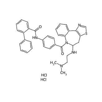 CN(C)CCNC1Cc2scnc2-c2ccccc2N1C(=O)c1ccc(NC(=O)c2ccccc2-c2ccccc2)cc1.Cl.Cl